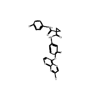 O=C(Nc1ccc(F)cc1)C1(C(=O)Nc2ccc(Oc3ccnc4nc(Cl)cnc34)c(F)c2)CC1